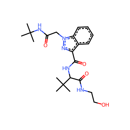 CC(C)(C)NC(=O)Cn1nc(C(=O)NC(C(=O)NCCO)C(C)(C)C)c2ccccc21